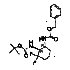 CC(C)(C)OC(=O)N[C@H]1[C@H](NC(=O)OCc2ccccc2)CCCC1(F)F